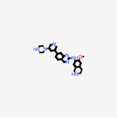 COc1cc2c(cc1Nc1ncc3ccc(-c4cncc(N5CCNCC5)c4)cc3n1)CNCC2